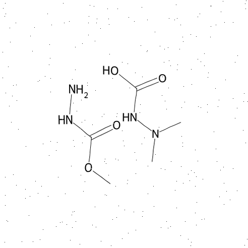 CN(C)NC(=O)O.COC(=O)NN